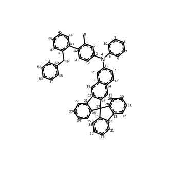 Cc1cc(N(c2ccccc2)c2ccc3cc4c(cc3c2)-c2ccccc2C42c3ccccc3-c3ccccc32)ccc1-c1ccccc1Cc1ccccc1